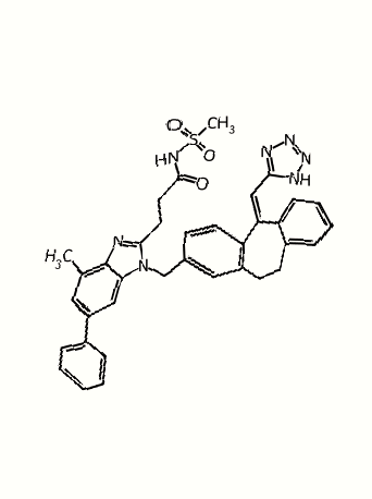 Cc1cc(-c2ccccc2)cc2c1nc(CCC(=O)NS(C)(=O)=O)n2Cc1ccc2c(c1)CCc1ccccc1C2=Cc1nnn[nH]1